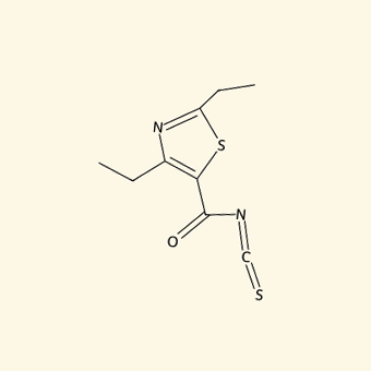 CCc1nc(CC)c(C(=O)N=C=S)s1